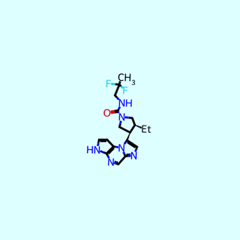 CC[C@@H]1CN(C(=O)NCC(C)(F)F)C[C@@H]1c1cnc2cnc3[nH]ccc3n12